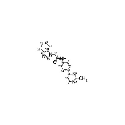 Cc1nccc(-c2ccc(NC(=O)Cn3cnc4c3CCCC4)cc2)n1